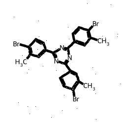 Cc1cc(-c2nc(-c3ccc(Br)c(C)c3)nc(-c3ccc(Br)c(C)c3)n2)ccc1Br